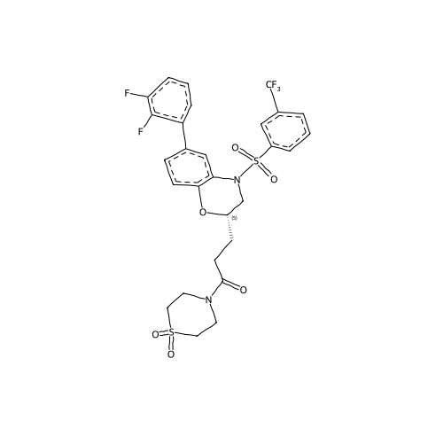 O=C(CC[C@H]1CN(S(=O)(=O)c2cccc(C(F)(F)F)c2)c2cc(-c3cccc(F)c3F)ccc2O1)N1CCS(=O)(=O)CC1